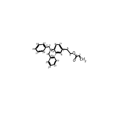 C=CC(=O)OCCc1ccc(N(Cc2ccccc2)Cc2ccccc2)cc1